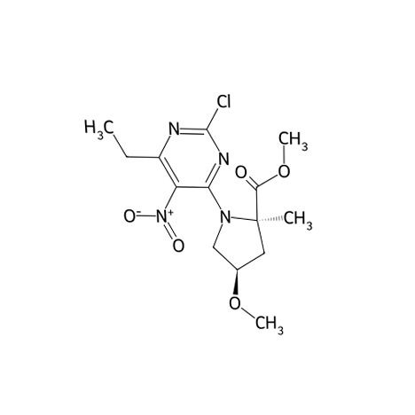 CCc1nc(Cl)nc(N2C[C@H](OC)C[C@]2(C)C(=O)OC)c1[N+](=O)[O-]